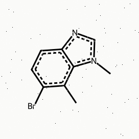 Cc1c(Br)ccc2ncn(C)c12